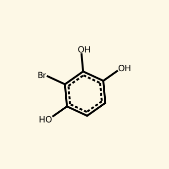 Oc1ccc(O)c(Br)c1O